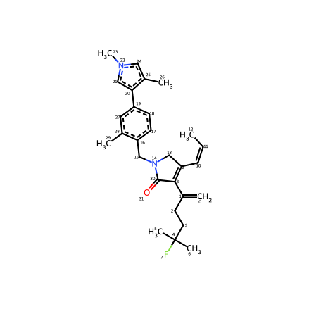 C=C(CCC(C)(C)F)C1=C(/C=C\C)CN(Cc2ccc(-c3cn(C)cc3C)cc2C)C1=O